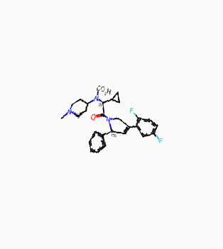 CN1CCC(N(C(=O)O)[C@H](C(=O)N2CC(c3cc(F)ccc3F)=C[C@H]2c2ccccc2)C2CC2)CC1